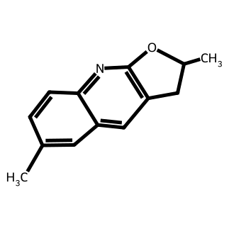 Cc1ccc2nc3c(cc2c1)CC(C)O3